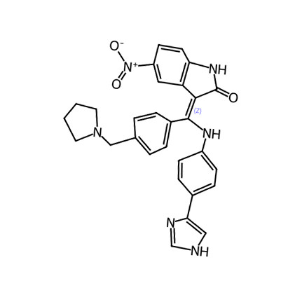 O=C1Nc2ccc([N+](=O)[O-])cc2/C1=C(/Nc1ccc(-c2c[nH]cn2)cc1)c1ccc(CN2CCCC2)cc1